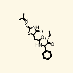 CCOC(=O)C(NC(=O)CC1S/C(=N/N=C(C)C)NC1=O)c1ccccc1